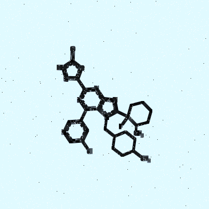 CC1CCC(Cn2c(C3(F)CCCCC3C)nc3nc(-c4n[nH]c(=O)o4)nc(-c4cncc(Cl)c4)c32)CC1